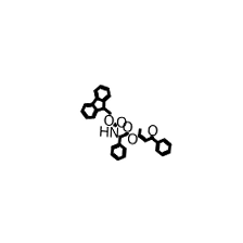 C/C(=C\C(=O)c1ccccc1)OC(=O)[C@@H](NC(=O)OCC1c2ccccc2-c2ccccc21)c1ccccc1